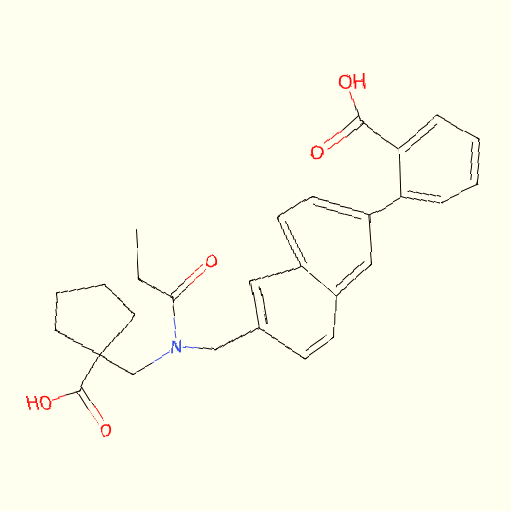 CCC(=O)N(Cc1ccc2cc(-c3ccccc3C(=O)O)ccc2c1)CC1(C(=O)O)CCCC1